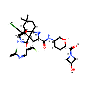 C=C(Cl)/N=C\C=C(/F)[C@H]1[C@H](C(=O)N[C@@H]2CC[C@@H](C(=O)N3CC(O)C3)OC2)NC2(CCC(C)(C)CC2)[C@@]12C(=O)Nc1cc(Cl)ccc12